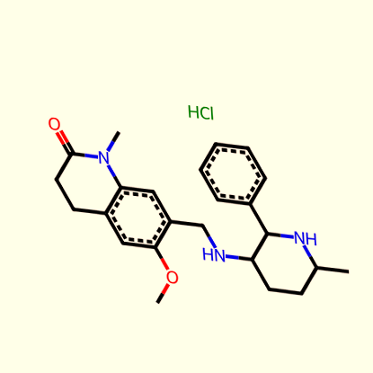 COc1cc2c(cc1CNC1CCC(C)NC1c1ccccc1)N(C)C(=O)CC2.Cl